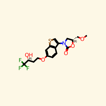 COC[C@H]1CN(c2csc3cc(OCC[C@@H](O)C(F)(F)F)ccc23)C(=O)O1